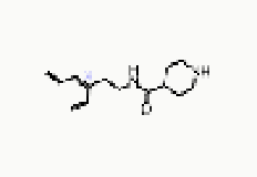 C=C/C=C(\C=C)CCNC(=O)C1CCNCC1